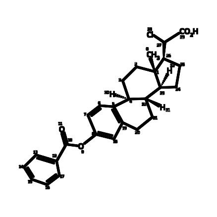 C[C@]12CC[C@@H]3c4ccc(OC(=O)c5ccccc5)cc4CC[C@H]3[C@@H]1CC[C@@H]2C(Cl)C(=O)O